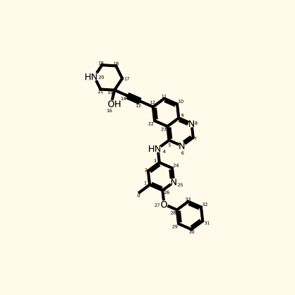 Cc1cc(Nc2ncnc3ccc(C#CC4(O)CCCNC4)cc23)cnc1Oc1ccccc1